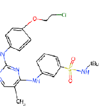 Cc1cnc(Nc2ccc(OCCCl)cc2)nc1Nc1cccc(S(=O)(=O)NC(C)(C)C)c1